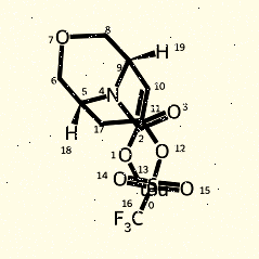 CC(C)(C)OC(=O)N1[C@H]2COC[C@@H]1C=C(OS(=O)(=O)C(F)(F)F)C2